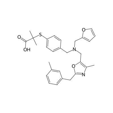 Cc1cccc(Cc2nc(C)c(CN(Cc3ccc(SC(C)(C)C(=O)O)cc3)Cc3ccco3)o2)c1